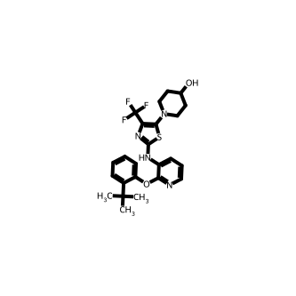 CC(C)(C)c1ccccc1Oc1ncccc1Nc1nc(C(F)(F)F)c(N2CCC(O)CC2)s1